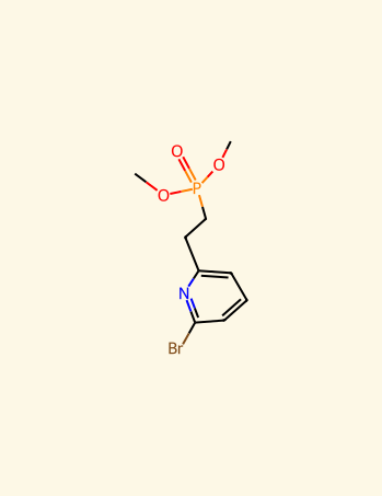 COP(=O)(CCc1cccc(Br)n1)OC